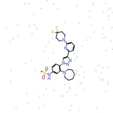 CS(=O)(=O)Nc1ccc(-n2cc(-c3cccc(N4CCC(F)(F)CC4)n3)nn2)c(N2CCCCCC2)c1